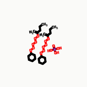 C=C(CCC)OOOOOOC1CCCCC1.C=C(CCC)OOOOOOC1CCCCC1.O=P(O)(O)O